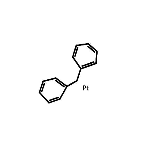 [Pt].[c]1ccc(Cc2ccccc2)cc1